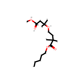 CCCCCOC(=O)C(C)(C)CCOC(C)(C)CC(=O)OC